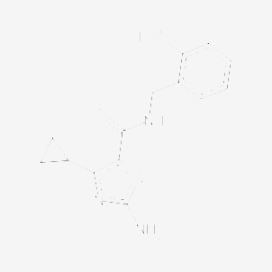 Cc1ccccc1CNC(=O)c1sc(N)nc1C1CC1